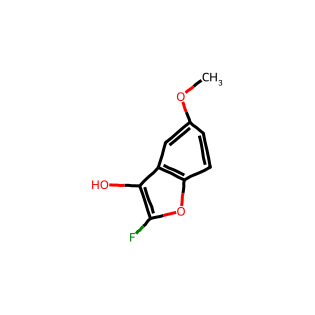 COc1ccc2oc(F)c(O)c2c1